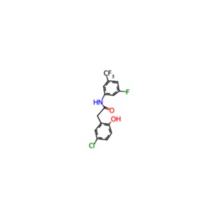 O=C(Cc1cc(Cl)ccc1O)Nc1cc(F)cc(C(F)(F)F)c1